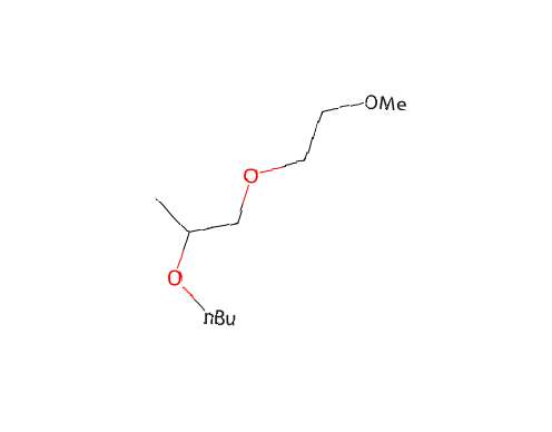 CCCCOC(C)COCCOC